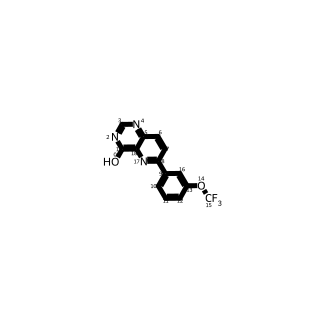 Oc1ncnc2ccc(-c3cccc(OC(F)(F)F)c3)nc12